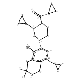 CC1(C)Cc2c(C#N)c(N3CCN(C(=O)C4CC4)C(C4CC4)C3)nc(C3CC3)c2CO1